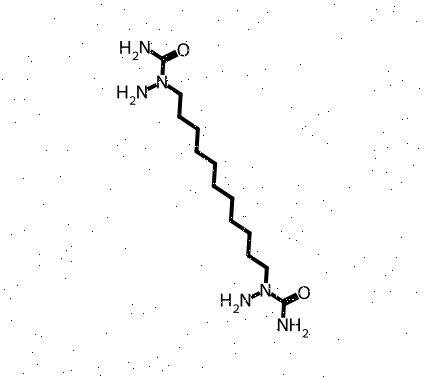 NC(=O)N(N)CCCCCCCCCCCN(N)C(N)=O